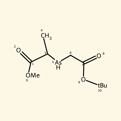 COC(=O)C(C)[AsH]CC(=O)OC(C)(C)C